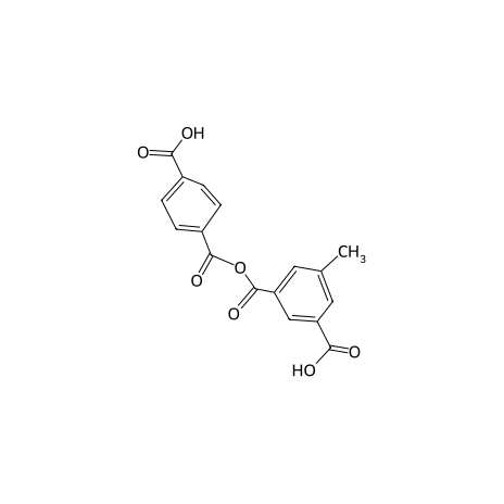 Cc1cc(C(=O)O)cc(C(=O)OC(=O)c2ccc(C(=O)O)cc2)c1